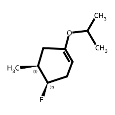 CC(C)OC1=CC[C@@H](F)[C@@H](C)C1